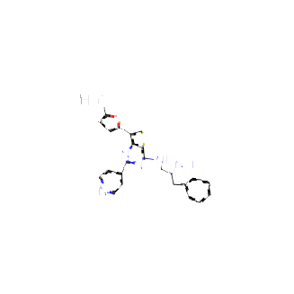 Cc1ccc(-c2csc3c(NC[C@@H](N)Cc4ccccc4)nc(-c4ccncc4)nc23)o1